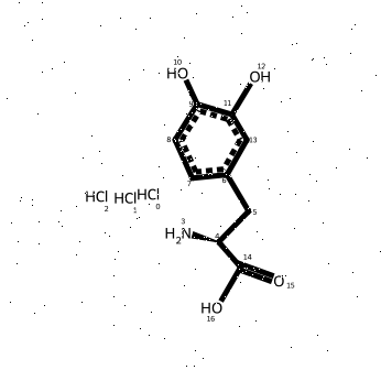 Cl.Cl.Cl.N[C@@H](Cc1ccc(O)c(O)c1)C(=O)O